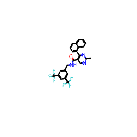 Cc1ncc(C(=O)NCc2cc(C(F)(F)F)cc(C(F)(F)F)c2)c(-c2cccc3ccccc23)n1